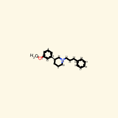 COc1cccc([C@@H]2CCCN(CCCc3ccccc3)C2)c1